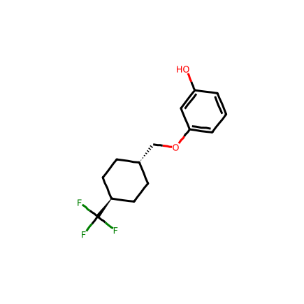 Oc1cccc(OC[C@H]2CC[C@H](C(F)(F)F)CC2)c1